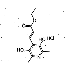 CCOC(=O)C=Cc1c(O)c(C)nc(C)c1O.Cl